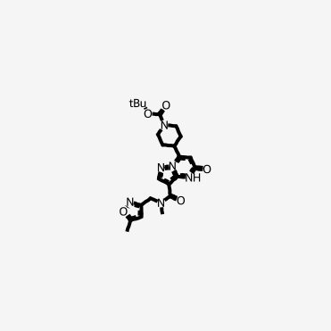 Cc1cc(CN(C)C(=O)c2cnn3c(C4CCN(C(=O)OC(C)(C)C)CC4)cc(=O)[nH]c23)no1